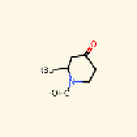 CC(C)(C)C1CC(=O)CCN1[C]=O